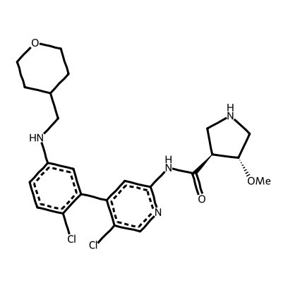 CO[C@H]1CNC[C@@H]1C(=O)Nc1cc(-c2cc(NCC3CCOCC3)ccc2Cl)c(Cl)cn1